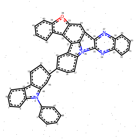 c1ccc(-n2c3ccccc3c3ccc(-c4ccc5c(c4)c4c6c(cc7c8nc9ccccc9nc8n5c74)oc4ccccc46)cc32)cc1